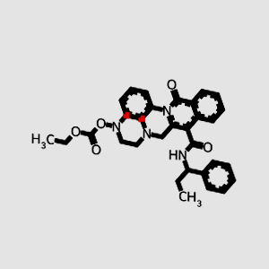 CCOC(=O)ON1CCN(Cc2c(C(=O)NC(CC)c3ccccc3)c3ccccc3c(=O)n2-c2ccccc2)CC1